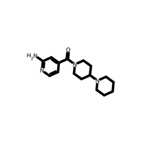 Nc1cc(C(=O)N2CCC(N3CCCCC3)CC2)ccn1